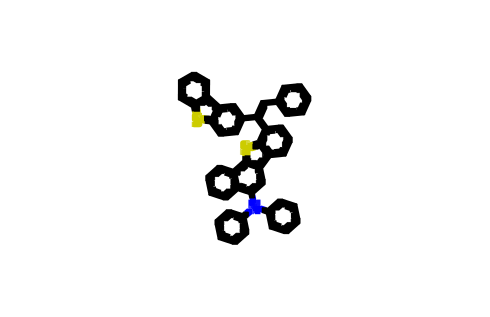 C(=C(\c1ccc2sc3ccccc3c2c1)c1cccc2c1sc1c3ccccc3c(N(c3ccccc3)c3ccccc3)cc21)/c1ccccc1